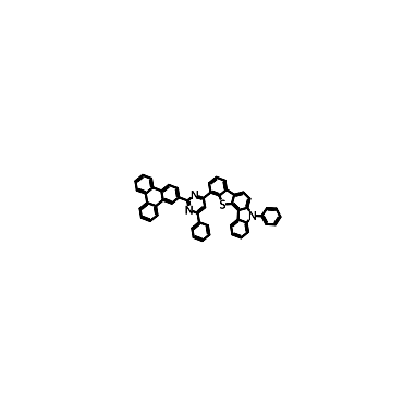 c1ccc(-c2cc(-c3cccc4c3sc3c4ccc4c3c3ccccc3n4-c3ccccc3)nc(-c3ccc4c5ccccc5c5ccccc5c4c3)n2)cc1